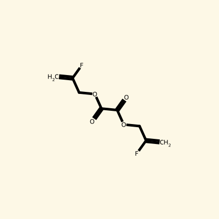 C=C(F)COC(=O)C(=O)OCC(=C)F